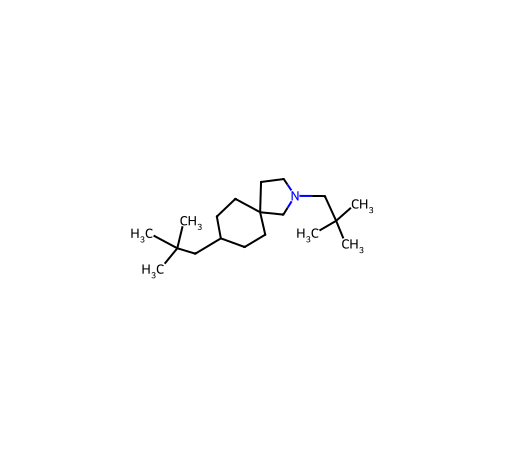 CC(C)(C)CC1CCC2(CC1)CCN(CC(C)(C)C)C2